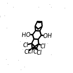 OC1C2C3C=CC(C3)C2C(O)C2C1C1(Cl)C(Cl)=C(Cl)C2(Cl)C1(Cl)Cl